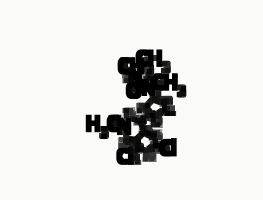 CCN(CC)C(=O)N(C)c1cccc(C2CN(C)Cc3c(Cl)cc(Cl)cc32)c1